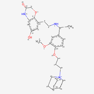 COc1cc(C(C)NCCc2cc(O)cc3c2OCC(=O)N3)ccc1OCCC[N+]12CCC(CC1)CC2